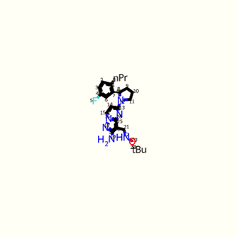 CCCc1ccc(F)cc1[C@H]1CCCN1c1ccn2nc(N)c(CNOC(C)(C)C)c2n1